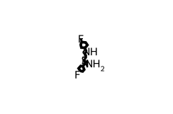 NN(SCSNc1ccc(F)cc1)c1ccc(F)cc1